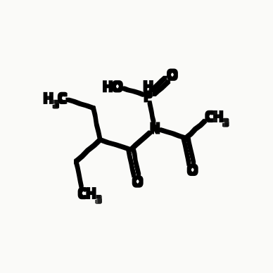 CCC(CC)C(=O)N(C(C)=O)[PH](=O)O